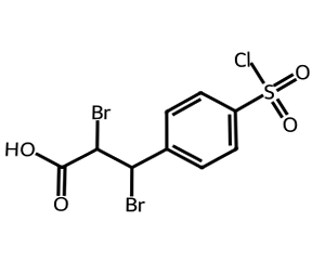 O=C(O)C(Br)C(Br)c1ccc(S(=O)(=O)Cl)cc1